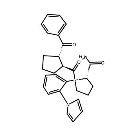 NC(=O)[C@@H]1CCC[N+]1(C(=O)[C@H]1CCC[C@@H]1C(=O)c1ccccc1)c1ccccc1-n1cccc1